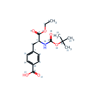 CCOC(=O)[C@H](Cc1ccc(C(=O)O)cc1)NC(=O)OC(C)(C)C